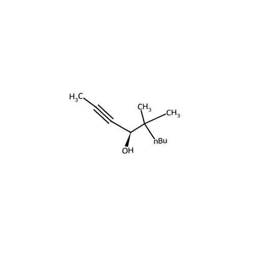 CC#C[C@H](O)C(C)(C)CCCC